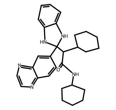 O=C(NC1CCCCC1)C(C1CCCCC1)C1(c2ccc3nccnc3c2)Nc2ccccc2N1